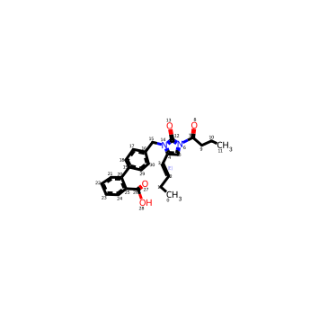 CC/C=C/c1cn(C(=O)CCC)c(=O)n1Cc1ccc(-c2ccccc2C(=O)O)cc1